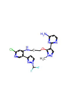 Cn1ncc(-c2nccc(N)n2)c1OCCCNc1cc(Cl)ncc1-c1ccn(C(F)F)n1